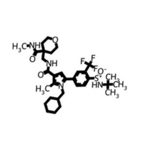 CNC(=O)C1(CNC(=O)c2cc(-c3ccc([S+]([O-])NC(C)(C)C)c(C(F)(F)F)c3)n(CC3CCCCC3)c2C)CCOCC1